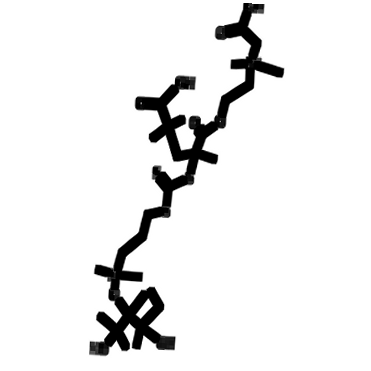 CCC(C)(O)C(C)(O[Si](C)(C)CCCSC(=S)SC(C)(CC(C)(C)C(=O)O)C(=O)OCC[N+](C)(C)CC(=O)O)C(C)(C)O